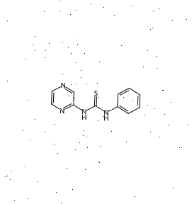 S=C(Nc1ccccc1)Nc1cnccn1